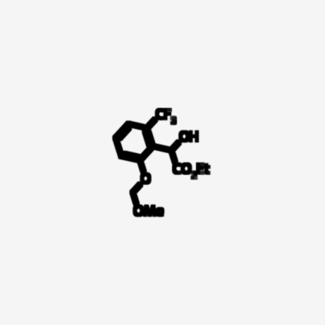 CCOC(=O)C(O)c1c(OCOC)cccc1C(F)(F)F